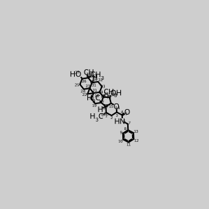 C[C@@H]1CC(C(=O)NCc2ccccc2)OC2[C@H]1C1(C)CCC34CC35CCC(O)C(C)(C)[C@@H]5CCC4[C@]1(C)[C@H]2O